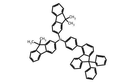 CC1(C)c2ccccc2-c2ccc(N(c3ccc(-c4cccc5c4-c4ccccc4C5(c4ccccc4)c4ccccc4)cc3)c3ccc4c(c3)C(C)(C)c3ccccc3-4)cc21